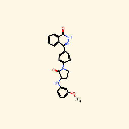 O=C1C(Nc2cccc(OC(F)(F)F)c2)CCN1c1ccc(-c2n[nH]c(=O)c3ccccc23)cc1